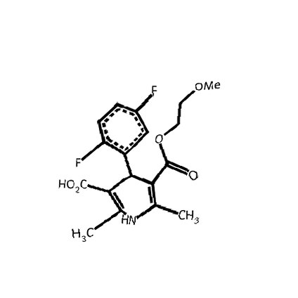 COCCOC(=O)C1=C(C)NC(C)=C(C(=O)O)C1c1cc(F)ccc1F